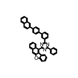 c1ccc(-c2nc(-c3cccc(-c4ccc(-c5ccc6ccccc6c5)cc4)c3)nc(-c3c4ccccc4cc4oc5ccccc5c34)n2)cc1